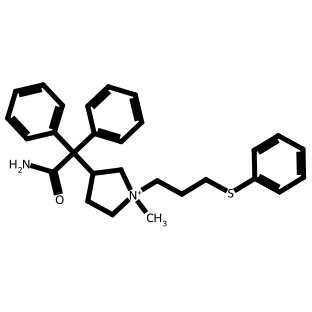 C[N+]1(CCCSc2ccccc2)CCC(C(C(N)=O)(c2ccccc2)c2ccccc2)C1